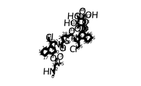 CNCCN(C)C(=O)Oc1cc2c(c3ccccc13)C(CCl)CN2C(=O)c1ccc(C(=O)N2CC(CCl)c3c2cc(OC2OC(C(=O)O)C(O)C(O)C2O)c2ccccc32)s1